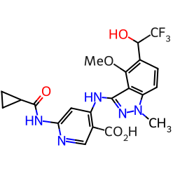 COc1c(C(O)C(F)(F)F)ccc2c1c(Nc1cc(NC(=O)C3CC3)ncc1C(=O)O)nn2C